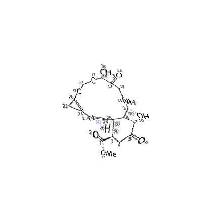 COC(=O)[C@@H]1CC(=O)CC2[C@@H](O)NCC(=O)C(C)CCCC3=C(C3)/N=C\[C@@H]21